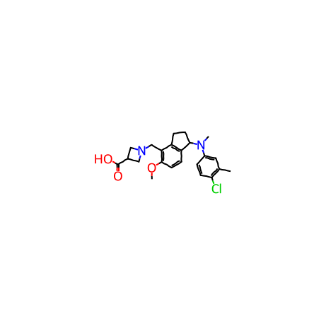 COc1ccc2c(c1CN1CC(C(=O)O)C1)CCC2N(C)c1ccc(Cl)c(C)c1